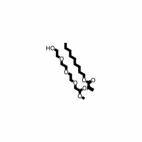 C=CC(=O)OCCCCCCCCC.COC(O)COCCOCCOCCO